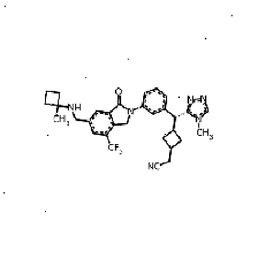 Cn1cnnc1[C@@H](c1cccc(N2Cc3c(cc(CNC4(C)CCC4)cc3C(F)(F)F)C2=O)c1)C1CC(CC#N)C1